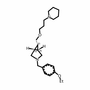 CCOc1ccc(CN2C[C@@H]3[C@H](COCCCN4CCCCC4)[C@@H]3C2)cc1